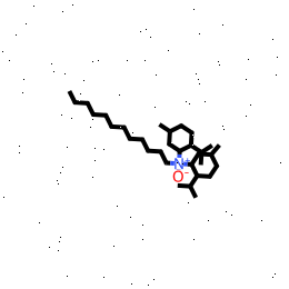 CCCCCCCCCCCC[N+]([O-])(C1CC(C)CCC1C(C)C)C1CC(C)CCC1C(C)C